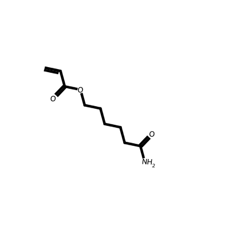 C=CC(=O)OCCCCCC(N)=O